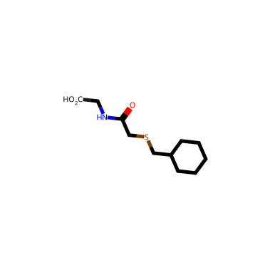 O=C(O)CNC(=O)CSCC1CCCCC1